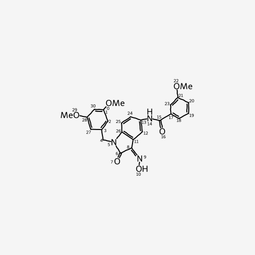 COc1cc(CN2C(=O)/C(=N\O)c3cc(NC(=O)c4cccc(OC)c4)ccc32)cc(OC)c1